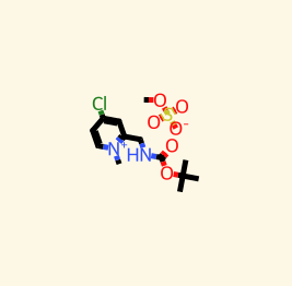 COS(=O)(=O)[O-].C[n+]1ccc(Cl)cc1CNC(=O)OC(C)(C)C